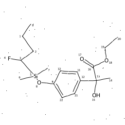 CCCC(F)[Si](C)(C)Oc1ccc(C(C)(O)C(=O)OCC)cc1